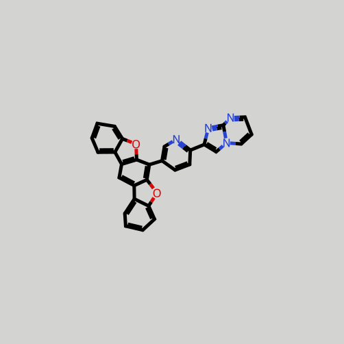 c1ccc2c(c1)oc1c(-c3ccc(-c4cn5cccnc5n4)nc3)c3oc4ccccc4c3cc12